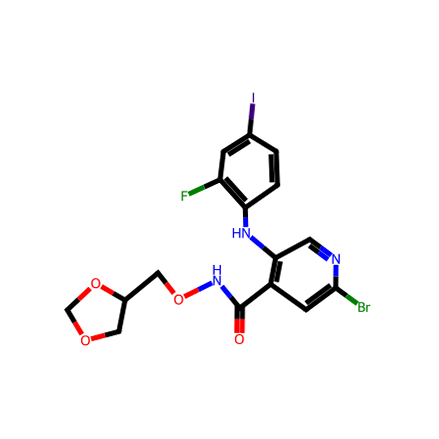 O=C(NOCC1COCO1)c1cc(Br)ncc1Nc1ccc(I)cc1F